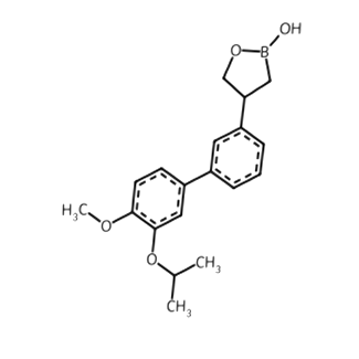 COc1ccc(-c2cccc(C3COB(O)C3)c2)cc1OC(C)C